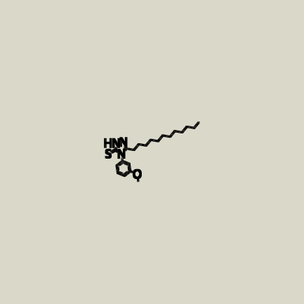 CCCCCCCCCCCCc1n[nH]c(=S)n1-c1cccc(OC)c1